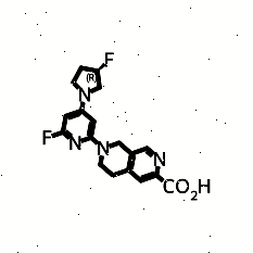 O=C(O)c1cc2c(cn1)CN(c1cc(N3CC[C@@H](F)C3)cc(F)n1)CC2